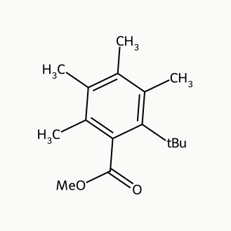 COC(=O)c1c(C)c(C)c(C)c(C)c1C(C)(C)C